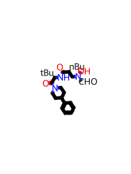 CCCC[C@H](CN(O)C=O)C(=O)N[C@H](C(=O)N1CCC(c2ccccc2)CC1)C(C)(C)C